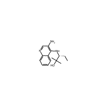 CC[C@@H](Nc1c(N)cnc2ccccc12)C(C)(C)O